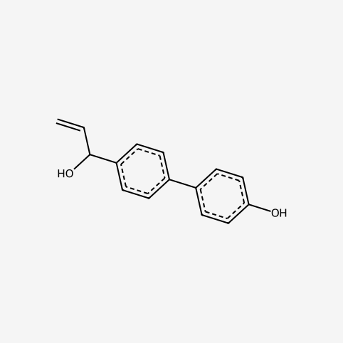 C=CC(O)c1ccc(-c2ccc(O)cc2)cc1